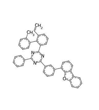 C=Cc1cccc(-c2nc(-c3ccccc3)nc(-c3cccc(-c4cccc5c4oc4ccccc45)c3)n2)c1-c1ccccc1C